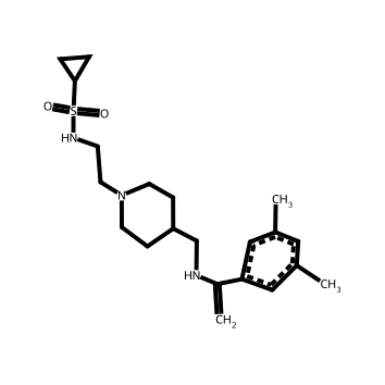 C=C(NCC1CCN(CCNS(=O)(=O)C2CC2)CC1)c1cc(C)cc(C)c1